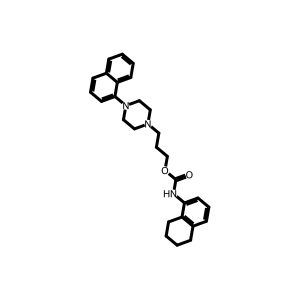 O=C(Nc1cccc2c1CCCC2)OCCCN1CCN(c2cccc3ccccc23)CC1